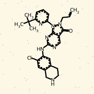 C=CCn1c(=O)c2cnc(Nc3cc4c(cc3Cl)CNCC4)nc2n1-c1cccc(C(C)(C)C)n1